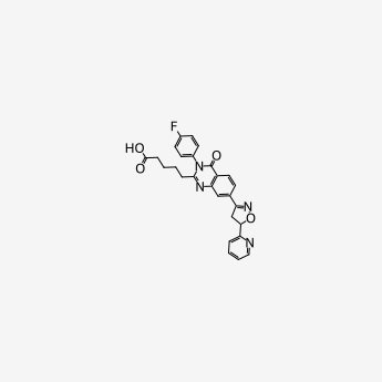 O=C(O)CCCCc1nc2cc(C3=NOC(c4ccccn4)C3)ccc2c(=O)n1-c1ccc(F)cc1